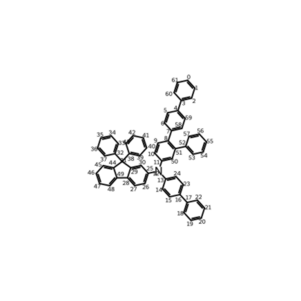 c1ccc(-c2ccc(-c3ccc(N(c4ccc(-c5ccccc5)cc4)c4ccc5c(c4)C(c4ccccc4)(c4ccccc4)c4ccccc4-5)cc3-c3ccccc3)cc2)cc1